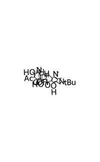 CC(=O)C1=C(O)[C@@H](N(C)C)[C@@H]2C[C@@H]3Cc4c(c(O)c5c(c4N(C)C)CN(C(C)(C)C)C5)C(=O)C3=C(O)[C@]2(O)C1=O